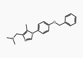 Cc1c(CN(C)C)ncn1-c1ccc(OCc2ccccc2)cc1